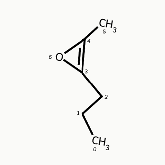 CCCC1=C(C)O1